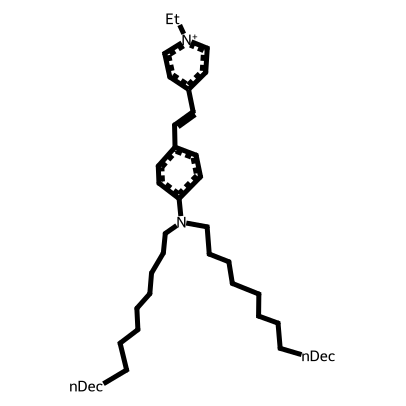 CCCCCCCCCCCCCCCCCCN(CCCCCCCCCCCCCCCCCC)c1ccc(/C=C/c2cc[n+](CC)cc2)cc1